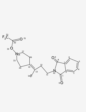 O=C1c2ccccc2C(=O)N1CCC(F)=C1CCN(OC(=O)C(F)(F)F)CC1